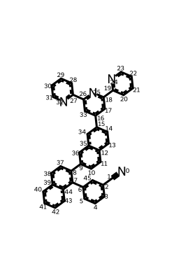 N#Cc1cccc(-c2c(-c3ccc4ccc(-c5cc(-c6ccccn6)nc(-c6ccccn6)c5)cc4c3)ccc3ccccc23)c1